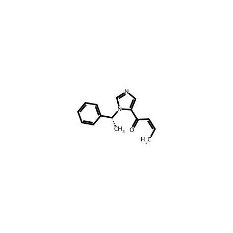 C/C=C\C(=O)c1cncn1[C@H](C)c1ccccc1